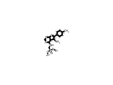 CCOP(=O)(CNc1ncnc2sc(-c3ccc(C)cc3)c(N)c12)OCC